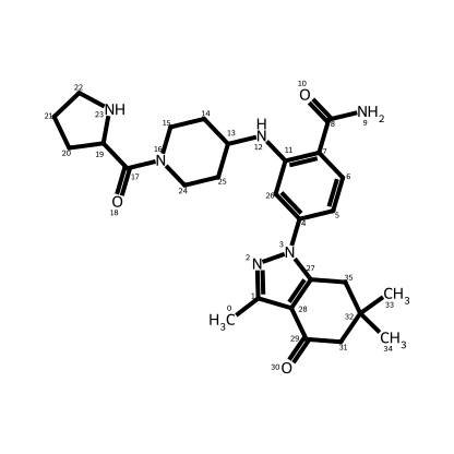 Cc1nn(-c2ccc(C(N)=O)c(NC3CCN(C(=O)C4CCCN4)CC3)c2)c2c1C(=O)CC(C)(C)C2